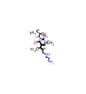 Cc1c(CNCCN)sc2c1c(=O)n(CC(C)C)c(=O)n2C